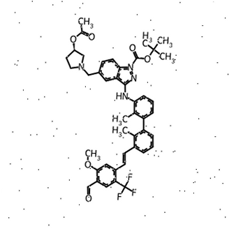 COc1cc(/C=C/c2cccc(-c3cccc(Nc4nn(C(=O)OC(C)(C)C)c5ccc(CN6CC[C@@H](OC(C)=O)C6)cc45)c3C)c2C)c(C(F)(F)F)cc1C=O